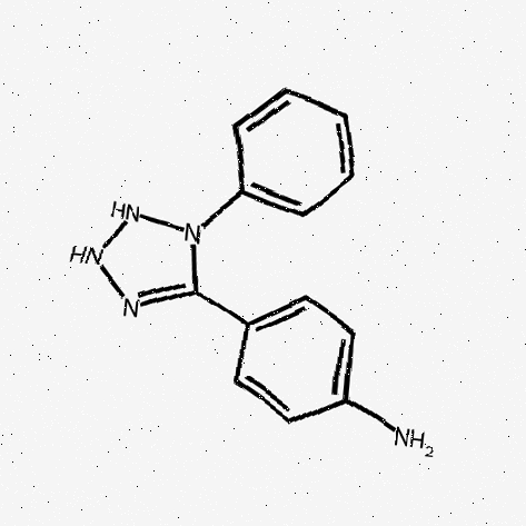 Nc1ccc(C2=NNNN2c2ccccc2)cc1